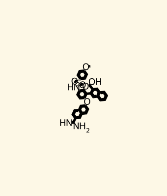 COc1ccc(S(=O)(=O)Nc2ccc(Oc3ccc4cc(C(=N)N)ccc4c3)c(-c3cc4ccccc4cc3C(=O)O)c2)cc1